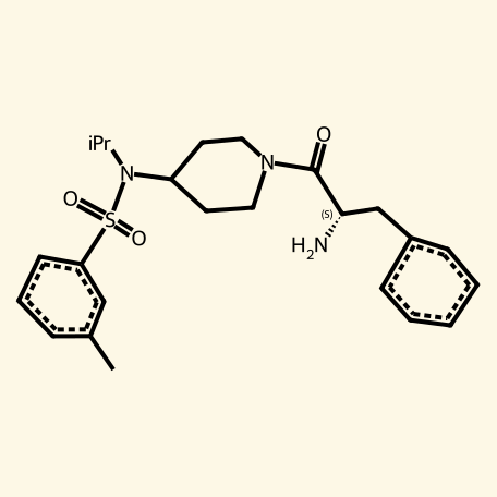 Cc1cccc(S(=O)(=O)N(C(C)C)C2CCN(C(=O)[C@@H](N)Cc3ccccc3)CC2)c1